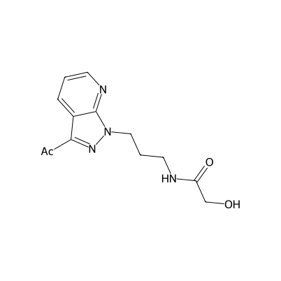 CC(=O)c1nn(CCCNC(=O)CO)c2ncccc12